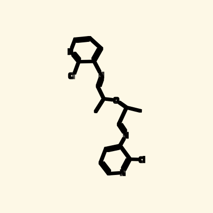 CC(C=Nc1cccnc1Cl)OC(C)C=Nc1cccnc1Cl